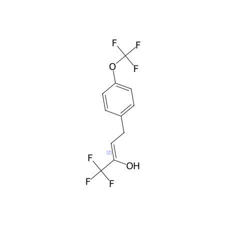 O/C(=C\Cc1ccc(OC(F)(F)F)cc1)C(F)(F)F